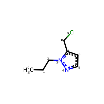 CCCn1nccc1CCl